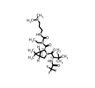 CCN(C(=O)NCCCN(C)C)C(=O)[C@@H]1[C@@H]2[C@H](CN1C(=O)[C@@H](NC(=O)C(F)(F)F)C(C)(C)C)C2(C)C